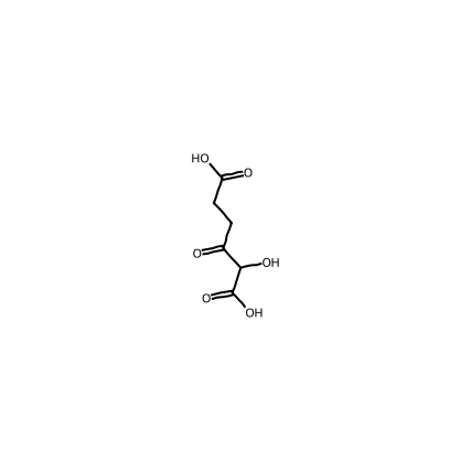 O=C(O)CCC(=O)C(O)C(=O)O